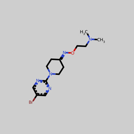 CN(C)CCON=C1CCN(c2ncc(Br)cn2)CC1